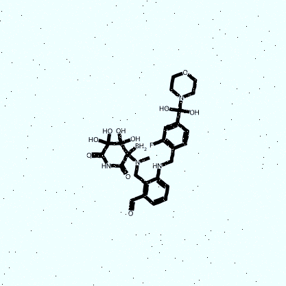 BC1(N(C)Cc2c(C=O)cccc2NCc2ccc(C(O)(O)N3CCOCC3)cc2F)C(=O)NC(=O)C(O)(O)C1(O)O